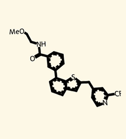 COCCNC(=O)c1cccc(-c2cccc3cc(Cc4ccnc(C(F)(F)F)c4)sc23)c1